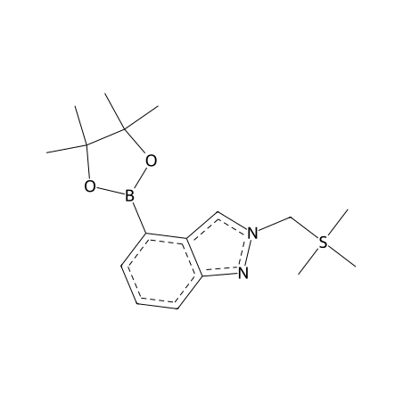 CC1(C)OB(c2cccc3nn(CS(C)(C)C)cc23)OC1(C)C